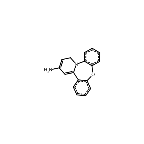 NC1=CCN2C(=C1)c1ccccc1Oc1ccccc12